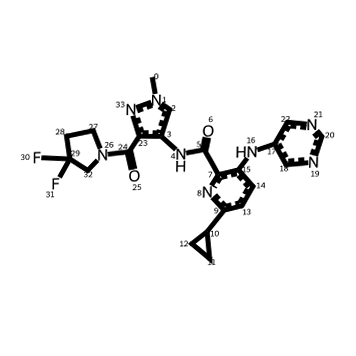 Cn1cc(NC(=O)c2nc(C3CC3)ccc2Nc2cncnc2)c(C(=O)N2CCC(F)(F)C2)n1